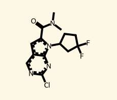 CN(C)C(=O)c1cc2cnc(Cl)nc2n1C1CCC(F)(F)C1